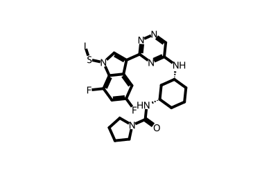 O=C(N[C@H]1CCC[C@@H](Nc2cnnc(-c3cn(SI)c4c(F)cc(F)cc34)n2)C1)N1CCCC1